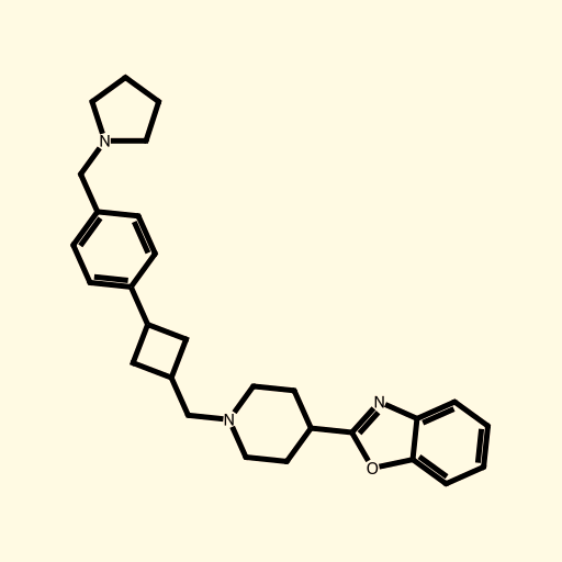 c1ccc2oc(C3CCN(CC4CC(c5ccc(CN6CCCC6)cc5)C4)CC3)nc2c1